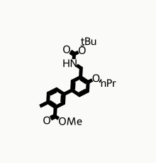 CCCOc1ccc(-c2ccc(C)c(C(=O)OC)c2)cc1CNC(=O)OC(C)(C)C